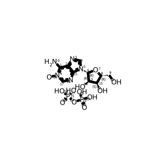 Nc1c2ncn([C@@H]3O[C@H](CO)[C@@H](O)[C@H]3O)c2nc[n+]1[O-].O=P(O)(O)OP(=O)(O)O